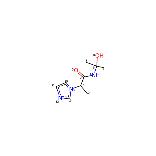 CC(C(=O)NC(C)(C)O)n1ccnc1